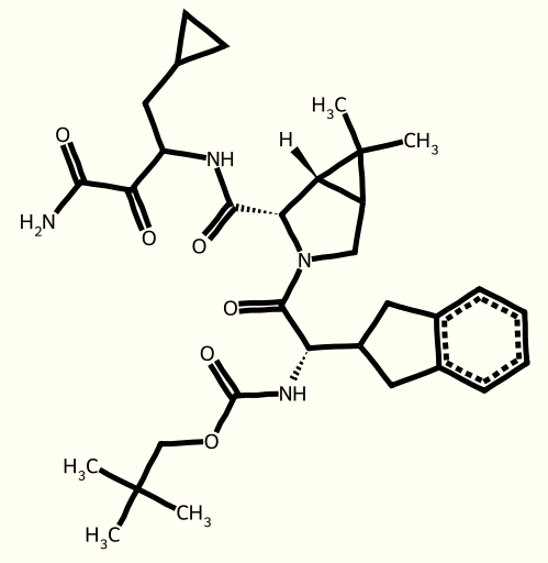 CC(C)(C)COC(=O)N[C@H](C(=O)N1CC2[C@H]([C@H]1C(=O)NC(CC1CC1)C(=O)C(N)=O)C2(C)C)C1Cc2ccccc2C1